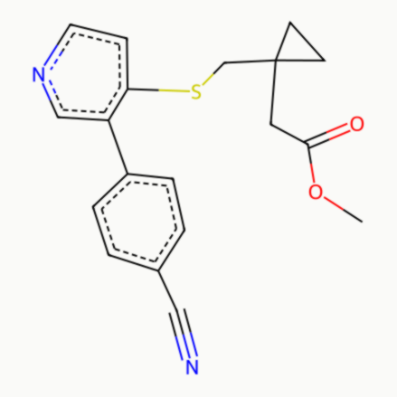 COC(=O)CC1(CSc2ccncc2-c2ccc(C#N)cc2)CC1